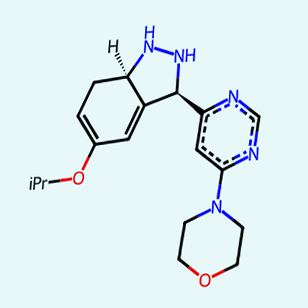 CC(C)OC1=CC[C@H]2NN[C@@H](c3cc(N4CCOCC4)ncn3)C2=C1